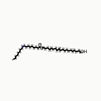 CCCCCCCC/C=C\CCCCCCCC(=O)OCCCCCCCCCCCCCCCCCCCCO